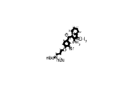 CCCCN(CCCC)CCCOc1ccc(C(=O)c2c(C)c(C)c3ccccn23)cc1Br